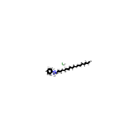 CCCCCCCCCCCCCCCCCC[N+](C)(C)c1ccccc1.[Cl-]